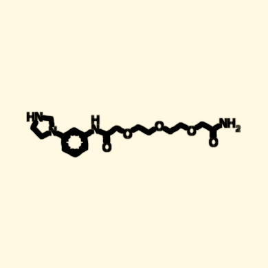 NC(=O)COCCOCCOCC(=O)Nc1cccc(N2CCNC2)c1